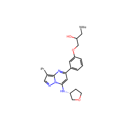 CNCC(O)COc1cccc(-c2cc(N[C@@H]3CCOC3)n3ncc(C(C)C)c3n2)c1